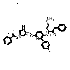 CSCC[C@H](Nc1ccc(OC[C@@H]2C[C@H](SC(=O)c3ccccc3)CN2)nc1-c1ccc(F)cc1)C(=O)Cc1ccccc1